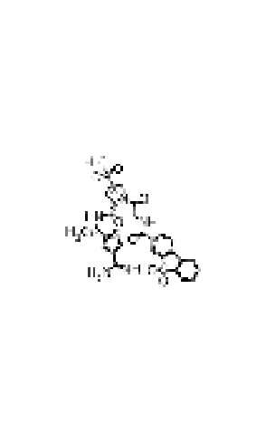 C[C@@H](NC(=O)[C@@H]1C[C@@H](S(C)(=O)=O)CN1C(=O)CNC(=O)c1ccc2c(c1)S(=O)(=O)c1ccccc1-2)c1cc(C(=N)N)cs1